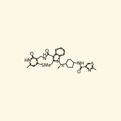 CSc1cc(C)[nH]c(=O)c1CNC(=O)c1c(C)n([C@H](C)C2CCC(NC(=O)c3csc(C)n3)CC2)c2ccccc12